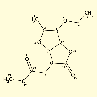 CCOC1C(C)OC2C(CC(=O)OC)C(=O)OC12